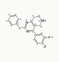 Fc1ccc(-c2nc(Cc3ccccc3)nc3c2CNCC3)cc1F